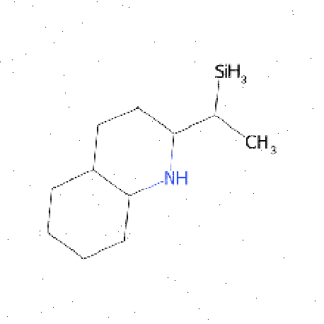 CC([SiH3])C1CCC2CCCCC2N1